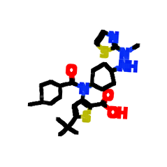 CC1CCC(C(=O)N(c2cc(C(C)(C)C)sc2C(=O)O)[C@H]2CC[C@@H](NN(C)c3nccs3)CC2)CC1